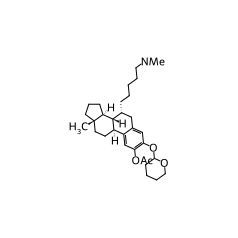 CNCCCCC[C@@H]1Cc2cc(OC3CCCCO3)c(OC(C)=O)cc2[C@H]2CC[C@]3(C)CCC[C@H]3[C@H]12